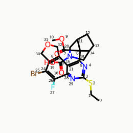 CCSc1nc(C2(C(=O)OC)C3CCC2CN(C(=O)O)C3)c2c3c(c(Br)c(F)c2n1)COC3